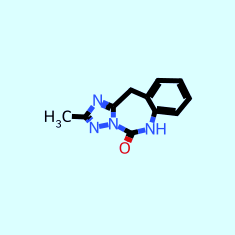 Cc1nc2n(n1)C(=O)Nc1ccccc1C2